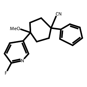 COC1(c2ccc(F)nc2)CCC(C#N)(c2ccccc2)CC1